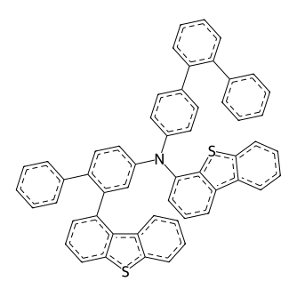 c1ccc(-c2ccccc2-c2ccc(N(c3ccc(-c4ccccc4)c(-c4cccc5sc6ccccc6c45)c3)c3cccc4c3sc3ccccc34)cc2)cc1